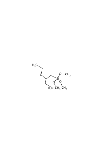 CCOC(CN)C[Si](OC)(OC)OC